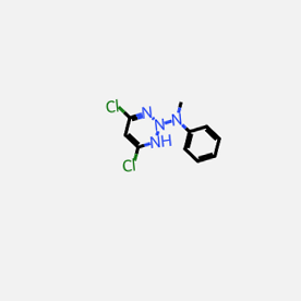 CN(c1ccccc1)N1N=C(Cl)C=C(Cl)N1